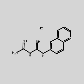 Cl.N=C(N)NC(=N)Nc1ccc2ncccc2c1